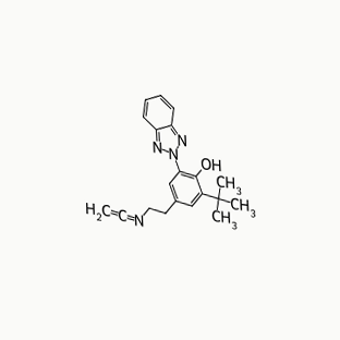 C=C=NCCc1cc(-n2nc3ccccc3n2)c(O)c(C(C)(C)C)c1